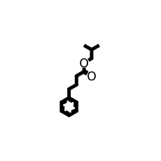 CC(C)COC(=O)CCCc1ccccc1